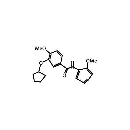 COc1ccccc1NC(=O)c1ccc(OC)c(OC2CCCC2)c1